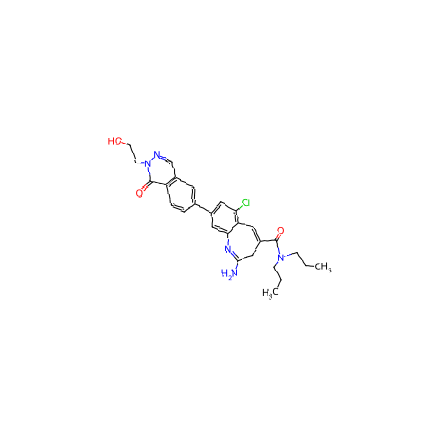 CCCN(CCC)C(=O)C1=Cc2c(Cl)cc(-c3ccc4c(=O)n(CCO)ncc4c3)cc2N=C(N)C1